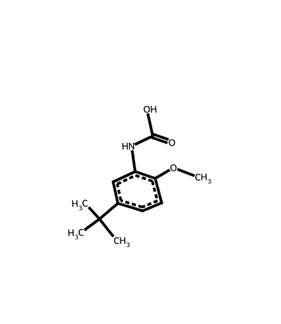 COc1ccc(C(C)(C)C)cc1NC(=O)O